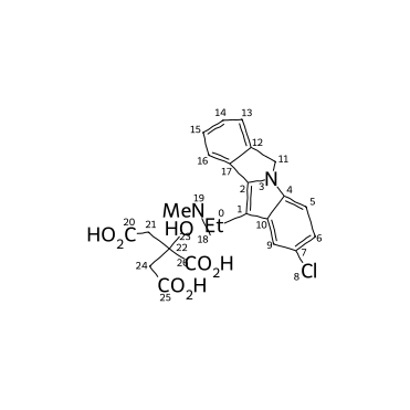 CCc1c2n(c3ccc(Cl)cc13)Cc1ccccc1-2.CNC.O=C(O)CC(O)(CC(=O)O)C(=O)O